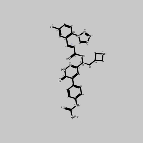 COC(=O)Nc1ccc(-c2cc([C@H](CC3CNC3)NC(=O)/C=C/c3cc(Cl)ccc3-n3cnnn3)n[nH]c2=O)cc1